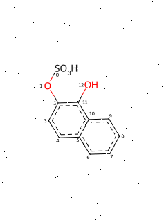 O=S(=O)(O)Oc1ccc2ccccc2c1O